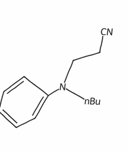 CCCCN(CCC#N)c1ccccc1